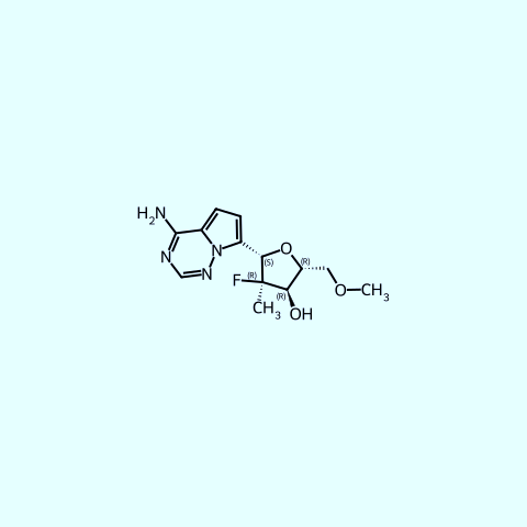 COC[C@H]1O[C@@H](c2ccc3c(N)ncnn23)[C@](C)(F)[C@@H]1O